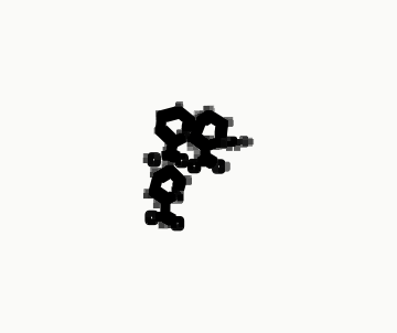 O=C([O-])c1ccccn1.O=C([O-])c1ccccn1.O=C([O-])c1ccccn1.[Pr+3]